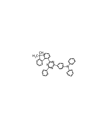 CC1(C)c2ccccc2-c2c(-c3nc(-c4ccccc4)nc(-c4ccc(N(c5ccccc5)c5ccccc5)cc4)n3)cccc21